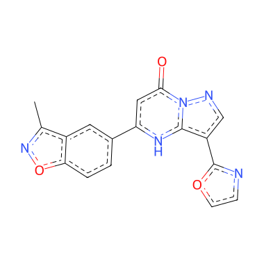 Cc1noc2ccc(-c3cc(=O)n4ncc(-c5ncco5)c4[nH]3)cc12